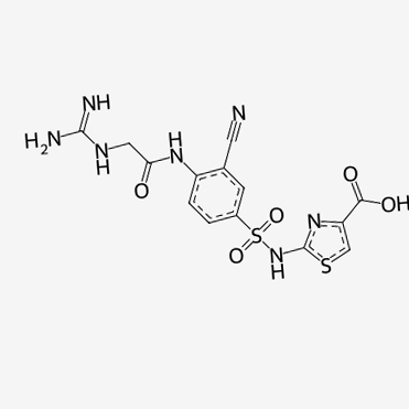 N#Cc1cc(S(=O)(=O)Nc2nc(C(=O)O)cs2)ccc1NC(=O)CNC(=N)N